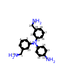 NCc1cccc(N(c2ccc(N)cc2)c2cccc(CN)c2)c1